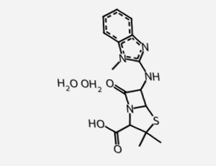 Cn1c(NC2C(=O)N3C2SC(C)(C)C3C(=O)O)nc2ccccc21.O.O